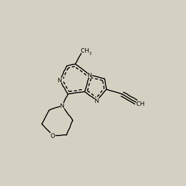 C#Cc1cn2c(C)cnc(N3CCOCC3)c2n1